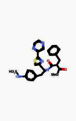 COC(=O)C(Cc1ccccc1)C(=O)NC(Cc1ccc(NS(=O)(=O)O)cc1)c1csc(-c2cnccn2)n1